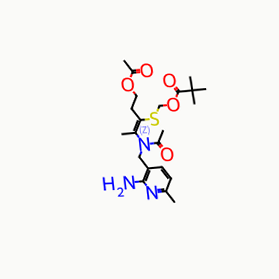 CC(=O)OCC/C(SCOC(=O)C(C)(C)C)=C(\C)N(Cc1ccc(C)nc1N)C(C)=O